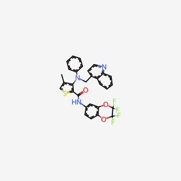 Cc1csc(C(=O)Nc2ccc3c(c2)OC(F)(F)C(F)(F)O3)c1N(Cc1ccnc2ccccc12)c1ccccc1